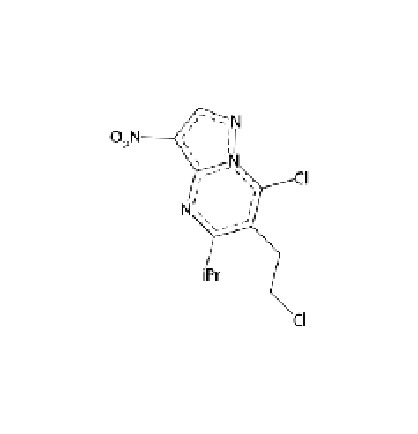 CC(C)c1nc2c([N+](=O)[O-])cnn2c(Cl)c1CCCl